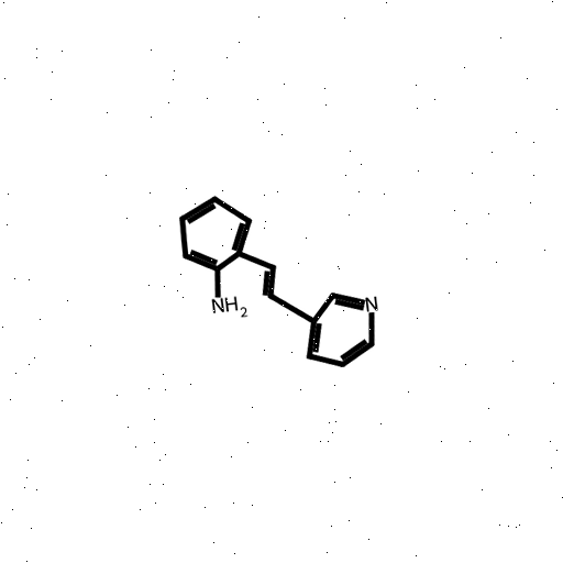 Nc1ccccc1/C=C/c1cccnc1